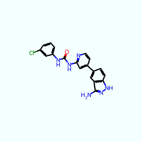 Nc1n[nH]c2ccc(-c3ccnc(NC(=O)Nc4cccc(Cl)c4)c3)cc12